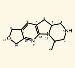 CC1CNCC2Cc3cc4c(nc3N12)COC4